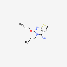 CCCOc1nc2sccc2c(=N)n1CCC